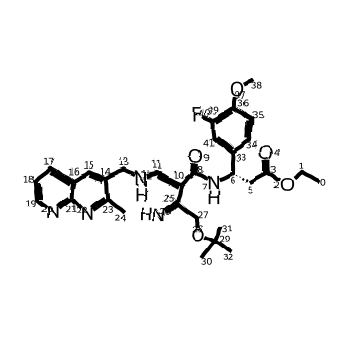 CCOC(=O)C[C@H](NC(=O)/C(=C/NCc1cc2cccnc2nc1C)C(=N)COC(C)(C)C)c1ccc(OC)c(F)c1